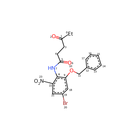 CCC(=O)CCC(=O)Nc1c(OCc2ccccc2)cc(Br)cc1[N+](=O)[O-]